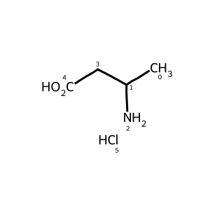 CC(N)CC(=O)O.Cl